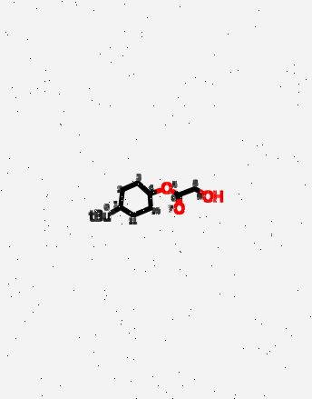 CC(C)(C)C1CCC(OC(=O)CO)CC1